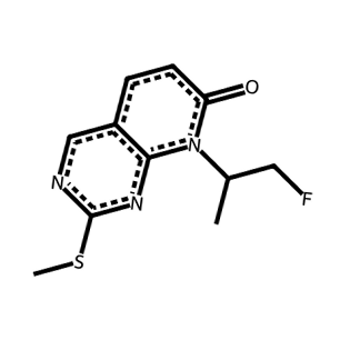 CSc1ncc2ccc(=O)n(C(C)CF)c2n1